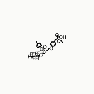 CCOC(Cc1ccc(OCCN(CCOC(F)(F)C(F)(F)C(F)(F)C(F)(F)F)C(=O)Oc2ccc(C)cc2)cc1)C(=O)O